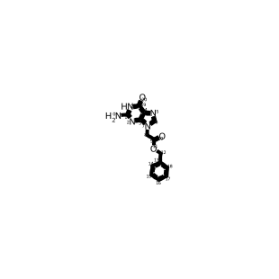 Nc1nc2c(ncn2CC(=O)OCc2ccccc2)c(=O)[nH]1